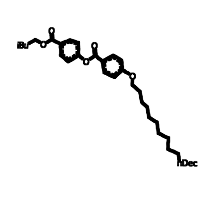 CCCCCCCCCCCCCCCCCCCCOc1ccc(C(=O)Oc2ccc(C(=O)OCC(C)CC)cc2)cc1